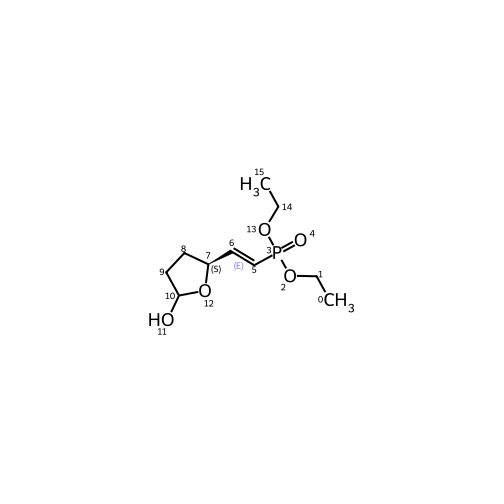 CCOP(=O)(/C=C/[C@@H]1CCC(O)O1)OCC